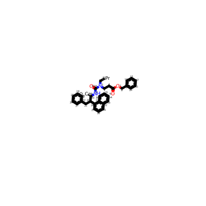 CC(C)CN(CCC(=O)OCc1ccccc1)C(=O)N[C@H](C(=O)O)C(Cc1ccccc1)c1cccc2ccccc12